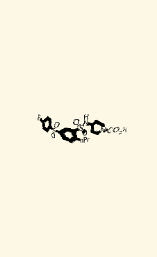 CCCc1ccc(S(=O)(=O)c2ccc(F)cc2)cc1S(=O)(=O)NC1CCN(C(=O)O)CC1